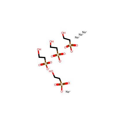 O=S(=O)([O-])CCO.O=S(=O)([O-])CCO.O=S(=O)([O-])CCO.O=S(=O)([O-])CCO.[Na+].[Na+].[Na+].[Na+]